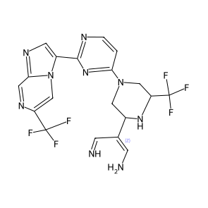 N=C/C(=C\N)C1CN(c2ccnc(-c3cnc4cnc(C(F)(F)F)cn34)n2)CC(C(F)(F)F)N1